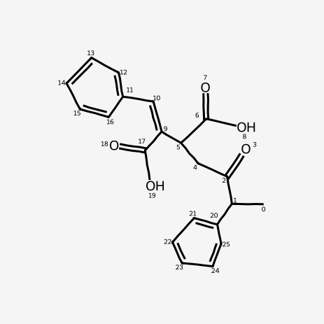 CC(C(=O)CC(C(=O)O)C(=Cc1ccccc1)C(=O)O)c1ccccc1